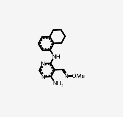 CON=Cc1c(N)ncnc1Nc1cccc2c1CCCC2